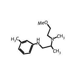 COCCN(C)C(C)CNc1cccc(C)c1